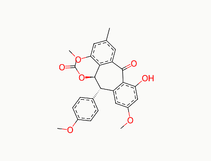 COc1ccc([C@H]2c3cc(OC)cc(O)c3C(=O)c3cc(C)cc(OC)c3[C@@H]2OC(C)=O)cc1